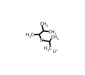 CC(C)[N-]C(C)C(C)C.[Li+]